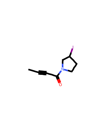 CC#CC(=O)N1CCC(I)C1